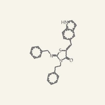 O=C1C(=Cc2ccc3[nH]ccc3c2)SC(=NCc2ccccc2)N1CCc1ccccc1